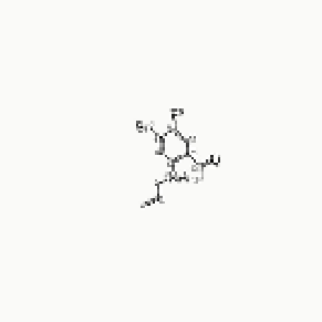 C=CCNc1cc(Br)c(F)cc1C(C)=O